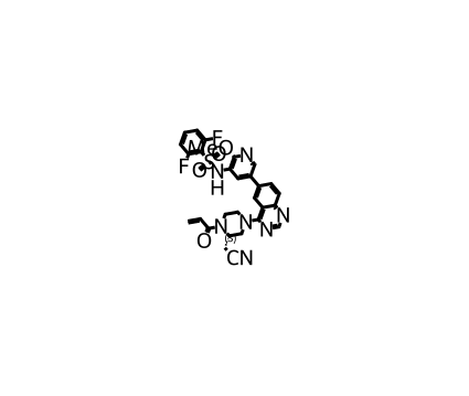 C=CC(=O)N1CCN(c2ncnc3ccc(-c4cnc(OC)c(NS(=O)(=O)c5c(F)cccc5F)c4)cc23)C[C@@H]1CC#N